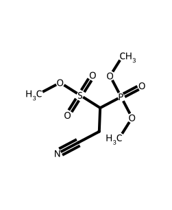 COP(=O)(OC)C(CC#N)S(=O)(=O)OC